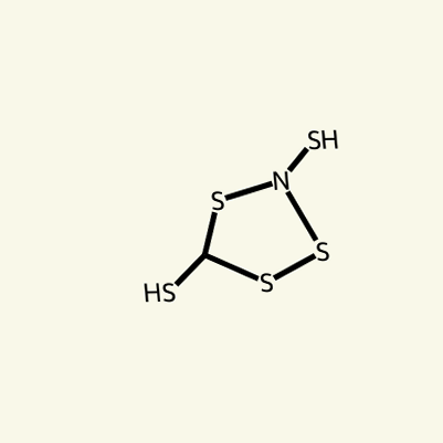 SC1SSN(S)S1